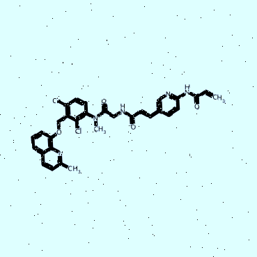 C=CC(=O)Nc1ccc(/C=C/C(=O)NCC(=O)N(C)c2ccc(Cl)c(COc3cccc4ccc(C)nc34)c2Cl)cn1